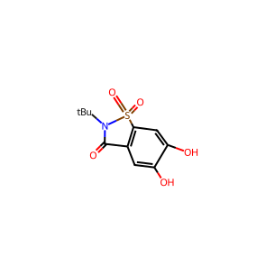 CC(C)(C)N1C(=O)c2cc(O)c(O)cc2S1(=O)=O